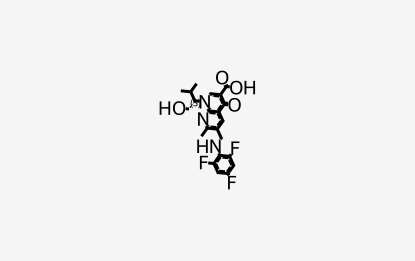 Cc1nc2c(cc1CNc1c(F)cc(F)cc1F)c(=O)c(C(=O)O)cn2[C@H](CO)C(C)C